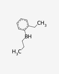 CCCBc1ccccc1CC